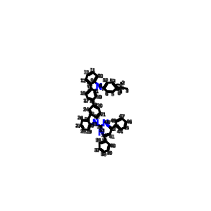 C[Si](C)(C)c1ccc(-n2c3ccccc3c3ccc(-c4ccc5c(c4)c4ccccc4n5-c4nc(-c5ccccc5)cc(-c5ccccc5)n4)cc32)cc1